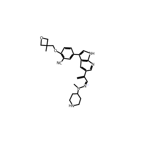 C=C(/C=N\N(C)C1CCNCC1)c1cnc2[nH]cc(-c3ccc(OCC4(C)COC4)c(C#N)c3)c2c1